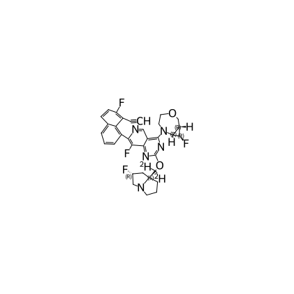 [2H]C([2H])(Oc1nc(N2CCOC[C@@H]3[C@@H](F)[C@@H]32)c2cnc(-c3cccc4ccc(F)c(C#C)c34)c(F)c2n1)[C@@]12CCCN1C[C@H](F)C2